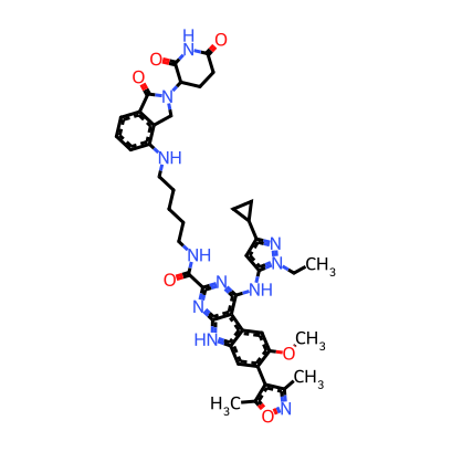 CCn1nc(C2CC2)cc1Nc1nc(C(=O)NCCCCCNc2cccc3c2CN(C2CCC(=O)NC2=O)C3=O)nc2[nH]c3cc(-c4c(C)noc4C)c(OC)cc3c12